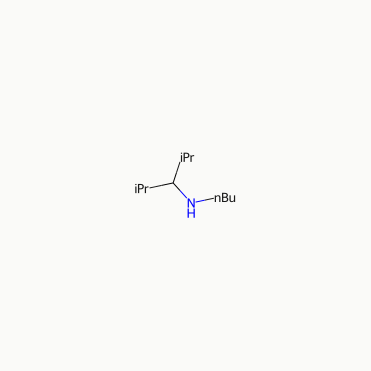 CCCCNC(C(C)C)C(C)C